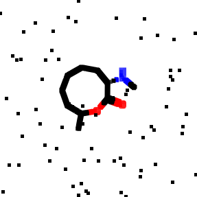 CN[C@H]1CCCCCC(C)OC1=O